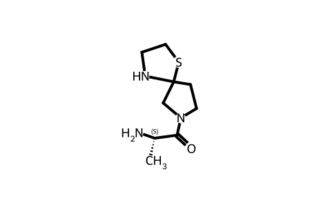 C[C@H](N)C(=O)N1CCC2(C1)NCCS2